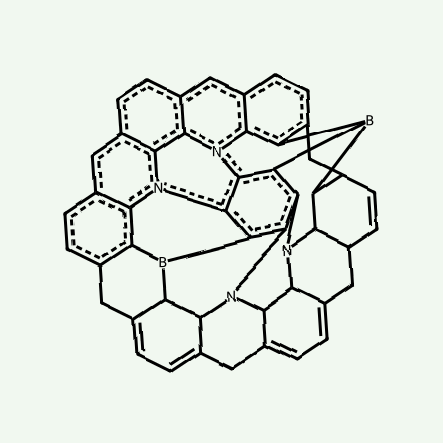 C1=CC2CC3=CC=C4CC5=CC=C6Cc7ccc8cc9ccc%10cc%11ccc%12c%13c%11n%11c%14c%15c%16c%17c%18c%14n(c8c7B%18C6C5N%17C4C3N%16C2C(B%13%15)C1C%12)c9c%10%11